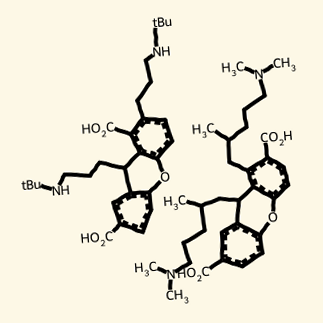 CC(C)(C)NCCCc1ccc2c(c1C(=O)O)C(CCCNC(C)(C)C)c1cc(C(=O)O)ccc1O2.CC(CCCN(C)C)Cc1c(C(=O)O)ccc2c1C(CC(C)CCCN(C)C)c1cc(C(=O)O)ccc1O2